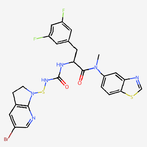 CN(C(=O)C(Cc1cc(F)cc(F)c1)NC(=O)NSN1CCc2cc(Br)cnc21)c1ccc2scnc2c1